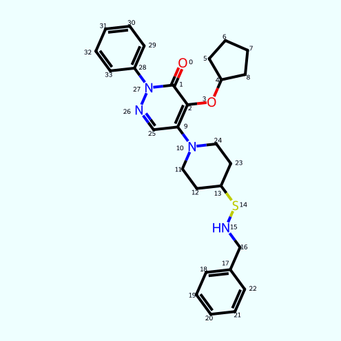 O=c1c(OC2CCCC2)c(N2CCC(SNCc3ccccc3)CC2)cnn1-c1ccccc1